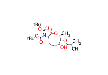 C=C(C)CO[C@H]1[C@H](C)OC(=O)[C@@H](N(C(=O)OC(C)(C)C)C(=O)OC(C)(C)C)CCC[C@@H]1O